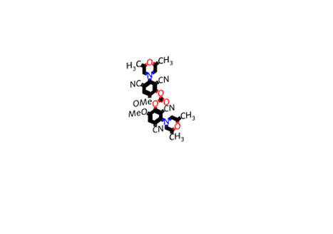 COc1cc(C#N)c(N2CC(C)OC(C)C2)c(C#N)c1OC(=O)Oc1c(OC)cc(C#N)c(N2CC(C)OC(C)C2)c1C#N